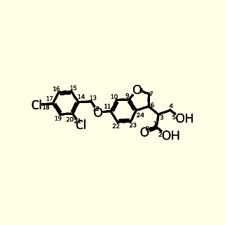 O=C(O)C(CO)C1COc2cc(OCc3ccc(Cl)cc3Cl)ccc21